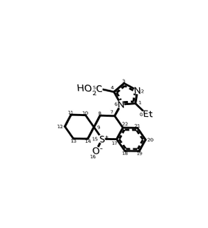 CCc1ncc(C(=O)O)n1C1CC2(CCCCC2)[S+]([O-])c2ccccc21